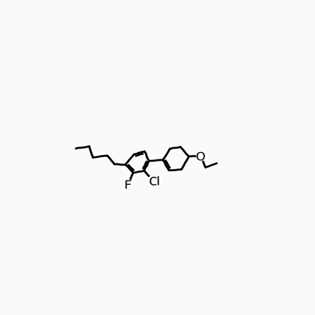 CCCCCc1ccc(C2=CCC(OCC)CC2)c(Cl)c1F